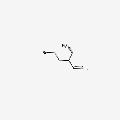 C=CC(C=C)CCBr